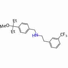 CCC(CC)(OC)c1ccc(CNCCc2cccc(C(F)(F)F)c2)cc1